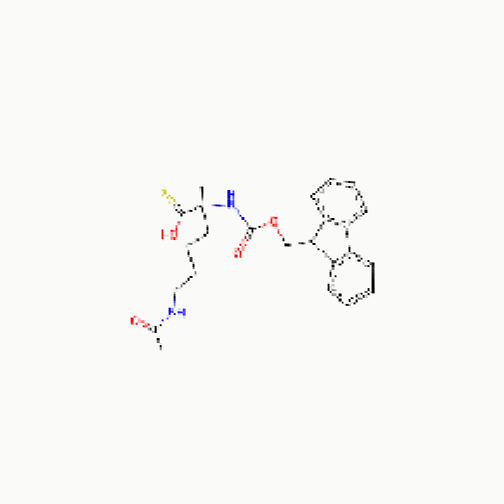 CC(=O)NCCCC[C@@](C)(NC(=O)OCC1c2ccccc2-c2ccccc21)C(O)=S